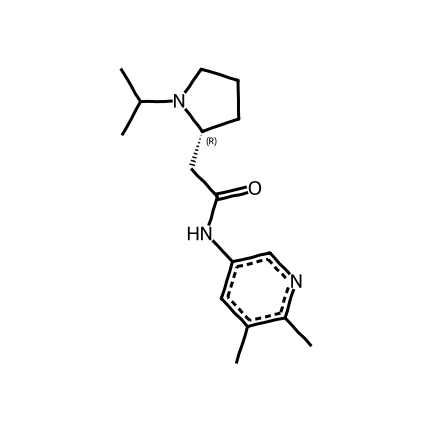 Cc1cc(NC(=O)C[C@H]2CCCN2C(C)C)cnc1C